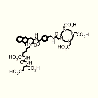 O=C(O)CC[C@H](NC(=O)N[C@@H](CCCCNC(=O)C(Cc1ccc2ccccc2c1)NC(=O)c1ccc(CNC(=O)CN2CCN(CC(=O)O)CCN(CC(=O)O)CCN(CC(=O)O)CC2)cc1)C(=O)O)C(=O)O